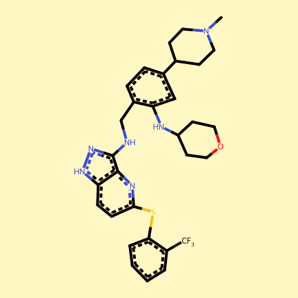 CN1CCC(c2ccc(CNc3n[nH]c4ccc(Sc5ccccc5C(F)(F)F)nc34)c(NC3CCOCC3)c2)CC1